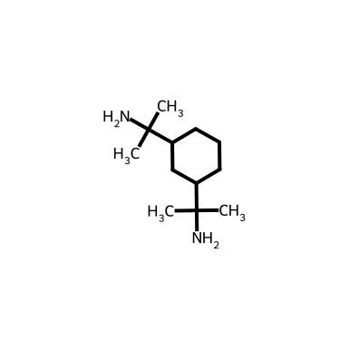 CC(C)(N)C1CCCC(C(C)(C)N)C1